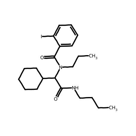 CCCCNC(=O)C(C1CCCCC1)N(CCC)C(=O)c1ccccc1I